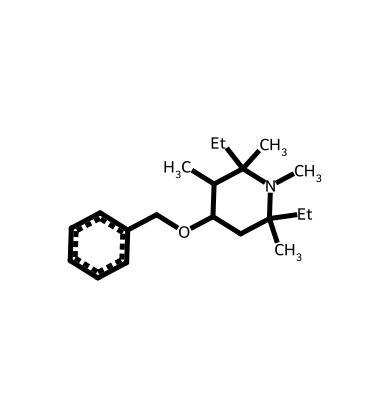 CCC1(C)CC(OCc2ccccc2)C(C)C(C)(CC)N1C